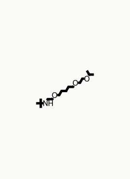 CC(C)OCCOCCCCCOCCNC(C)(C)C